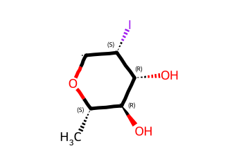 C[C@@H]1O[CH][C@H](I)[C@H](O)[C@H]1O